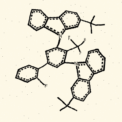 CC(C)(C)c1ccc2c3ccccc3n(-c3cc(-c4ccccc4F)cc(-n4c5ccccc5c5ccc(C(C)(C)C)cc54)c3C(F)(F)F)c2c1